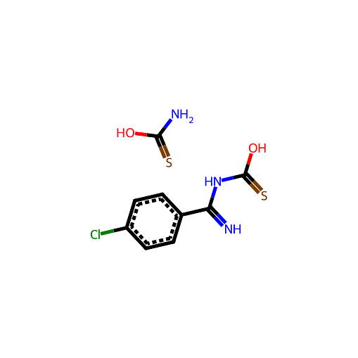 N=C(NC(O)=S)c1ccc(Cl)cc1.NC(O)=S